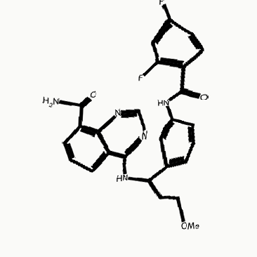 COCCC(Nc1ncnc2c(C(N)=O)cccc12)c1cccc(NC(=O)c2ccc(F)cc2F)c1